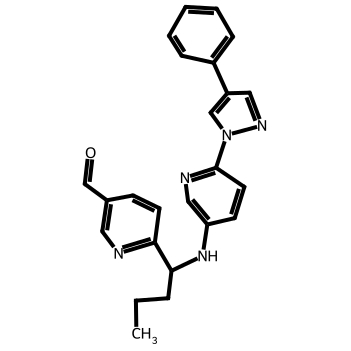 CCCC(Nc1ccc(-n2cc(-c3ccccc3)cn2)nc1)c1ccc(C=O)cn1